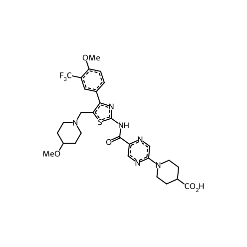 COc1ccc(-c2nc(NC(=O)c3cnc(N4CCC(C(=O)O)CC4)cn3)sc2CN2CCC(OC)CC2)cc1C(F)(F)F